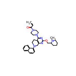 C=CC(=O)N1CCN(c2nc(OCC3CCCCN3C)nc3c2CCN(c2cccc4ccccc24)C3)CC1